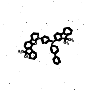 CC1(C)c2ccccc2-c2ccc(N(c3ccc(-c4cccc5c4oc4c6c(ccc45)C(C)(C)c4ccccc4-6)cc3)C3C=CC(c4ccccc4)=CC3)cc21